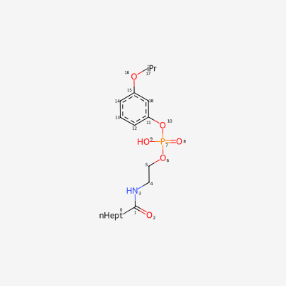 CCCCCCCC(=O)NCCOP(=O)(O)Oc1cccc(OC(C)C)c1